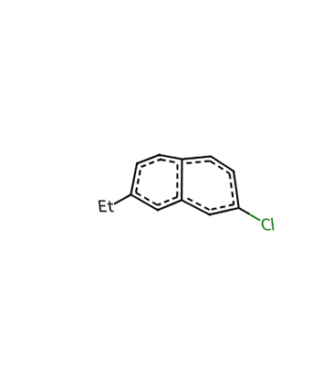 CCc1ccc2ccc(Cl)cc2c1